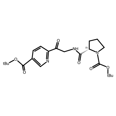 CC(C)(C)OC(=O)c1ccc(C(=O)CNC(=O)[C@@H]2CCCN2C(=O)OC(C)(C)C)nc1